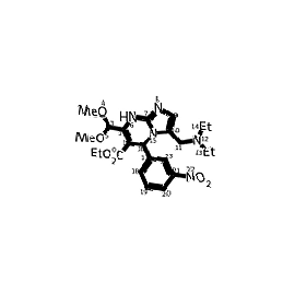 CCOC(=O)C1=C(C(OC)OC)Nc2ncc(CN(CC)CC)n2C1c1cccc([N+](=O)[O-])c1